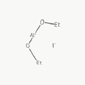 CC[O][Al+][O]CC.[I-]